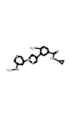 CNc1cncc(-n2cc(-c3cc(C(=O)NC4CC4)ccc3C)cn2)c1